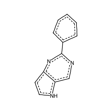 c1ccc(-c2ncc3[nH]ccc3n2)cc1